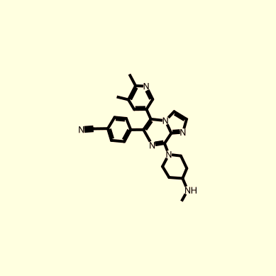 CNC1CCN(c2nc(-c3ccc(C#N)cc3)c(-c3cnc(C)c(C)c3)n3ccnc23)CC1